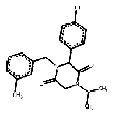 Cc1cccc(CN2C(=O)CN(C(C)C)C(=O)C2c2ccc(Cl)cc2)c1